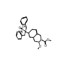 COC(=O)N1CC2CCC(C(Cc3ccccc3)(Cc3ccccc3)P(=O)(O)O)CC2CC1OC